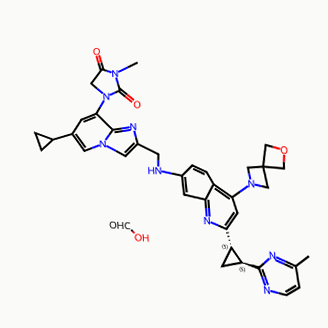 Cc1ccnc([C@H]2C[C@@H]2c2cc(N3CC4(COC4)C3)c3ccc(NCc4cn5cc(C6CC6)cc(N6CC(=O)N(C)C6=O)c5n4)cc3n2)n1.O=CO